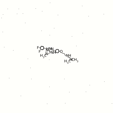 CN(C)CCNCCCOc1ccc(C2=NNC3=C(CN(C)CN3Cc3ccc(F)c(F)c3)N2)cc1